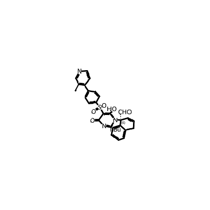 CCCCc1nc(=O)c(S(=O)(=O)c2ccc(-c3ccncc3C)cc2)c(O)n1[C@@]1(C=O)C=CCc2ccccc21